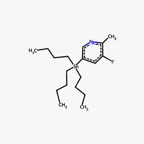 CCC[CH2][Sn]([CH2]CCC)([CH2]CCC)[c]1cnc(C)c(F)c1